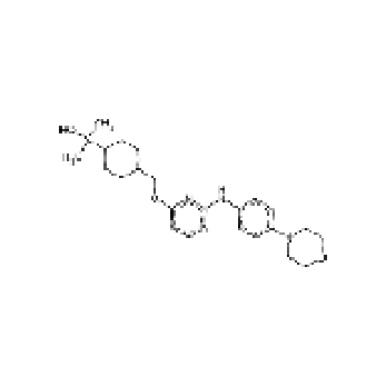 CC(C)(O)C1CCC(COc2ccnc(Nc3ccc(N4CCOCC4)cc3)n2)CC1